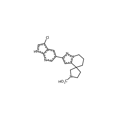 O=C(O)N1CCC2(CCCn3nc(-c4cnc5[nH]cc(Cl)c5c4)cc32)C1